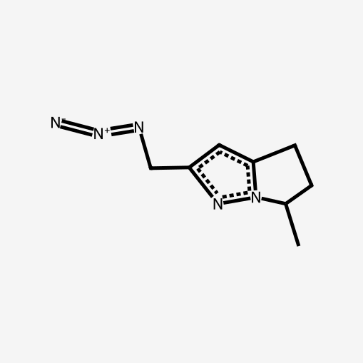 CC1CCc2cc(CN=[N+]=[N-])nn21